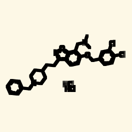 CN(C)Cc1c(OCc2ccc(Cl)c(Cl)c2)ccc2c(CCC3CCN(Cc4ccccc4)CC3)noc12.Cl.Cl